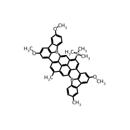 COc1ccc2c(c1)-c1cc(OC)cc3c1B2c1cc2c([Si](C)(C)C)cc4c5c(cc6c(C)cc-3c1c6c25)B1c2ccc(C)cc2-c2cc(OC)cc-4c21